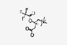 C[N+](C)(C)C[C@@H](CC(=O)[O-])OC(=O)C(F)(F)F